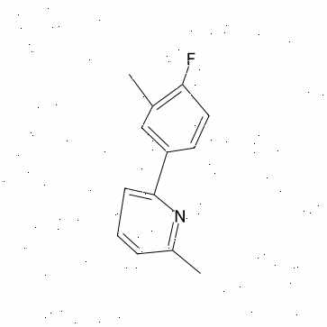 Cc1cccc(-c2ccc(F)c(C)c2)n1